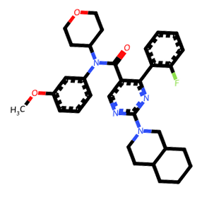 COc1cccc(N(C(=O)c2cnc(N3CCC4CCCCC4C3)nc2-c2ccccc2F)C2CCOCC2)c1